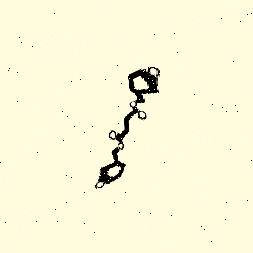 O=C(CCC(=O)OCC1CCC2OC2C1)OCC1CCC2OC2C1